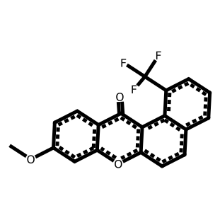 COc1ccc2c(=O)c3c(ccc4cccc(C(F)(F)F)c43)oc2c1